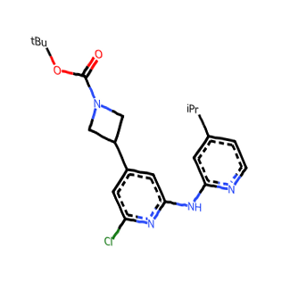 CC(C)c1ccnc(Nc2cc(C3CN(C(=O)OC(C)(C)C)C3)cc(Cl)n2)c1